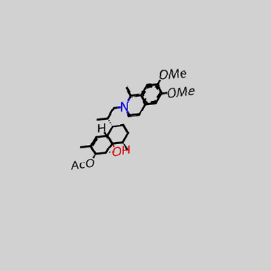 COc1cc2c(cc1OC)C(C)N(CC(C)[C@@H]1CC[C@@H](C)[C@]3(O)[CH][C@@H](OC(C)=O)C(C)=C[C@H]13)CC2